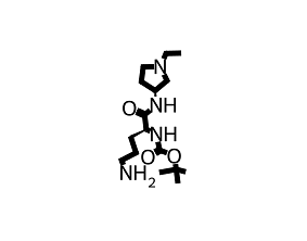 CCN1CC[C@@H](NC(=O)[C@H](CCCN)NC(=O)OC(C)(C)C)C1